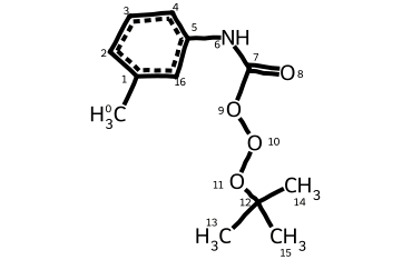 Cc1cccc(NC(=O)OOOC(C)(C)C)c1